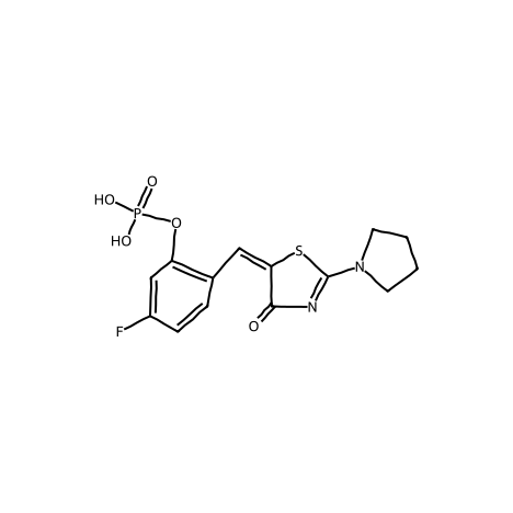 O=C1N=C(N2CCCC2)SC1=Cc1ccc(F)cc1OP(=O)(O)O